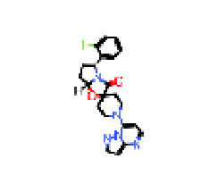 O=C1N2[C@@H](CC[C@H]2c2ccccc2F)OC12CCN(c1ccnc3ccnn13)CC2